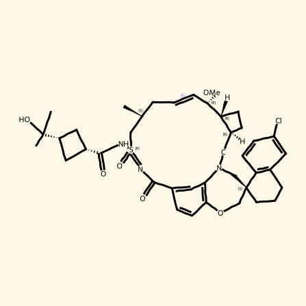 CO[C@H]1/C=C/C[C@H](C)C[S@@](=O)(NC(=O)[C@H]2C[C@@H](C(C)(C)O)C2)=NC(=O)c2ccc3c(c2)N(C[C@@H]2CC[C@H]21)C[C@@]1(CCCc2cc(Cl)ccc21)CO3